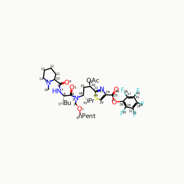 CCCCCOCN(C(=O)[C@@H](NC(=O)C1CCCCN1C)C(C)CC)[C@H](C[C@@H](OC(C)=O)c1nc(C(=O)Oc2c(F)c(F)c(F)c(F)c2F)cs1)C(C)C